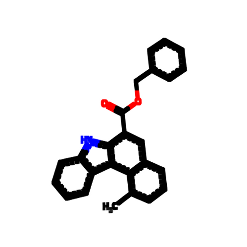 Cc1cccc2cc(C(=O)OCc3ccccc3)c3[nH]c4ccccc4c3c12